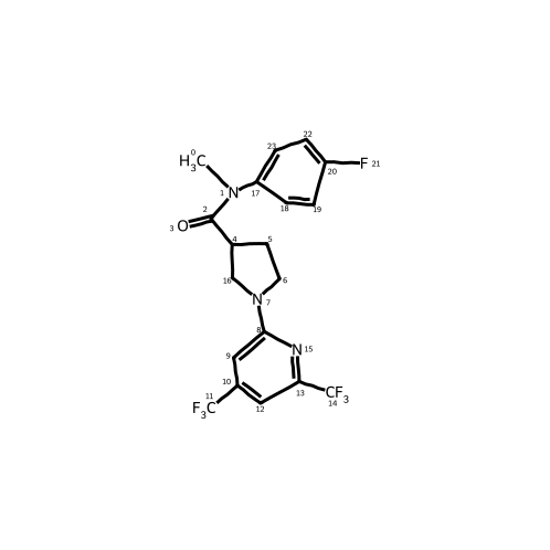 CN(C(=O)C1CCN(c2cc(C(F)(F)F)cc(C(F)(F)F)n2)C1)c1ccc(F)cc1